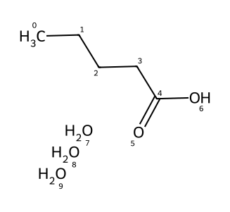 CCCCC(=O)O.O.O.O